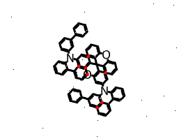 c1ccc(-c2cccc(N(c3ccc4c(c3)Oc3cc(N(c5cccc(-c6ccccc6)c5)c5ccccc5-c5ccccc5)ccc3C43c4ccccc4Oc4ccccc43)c3ccccc3-c3ccccc3)c2)cc1